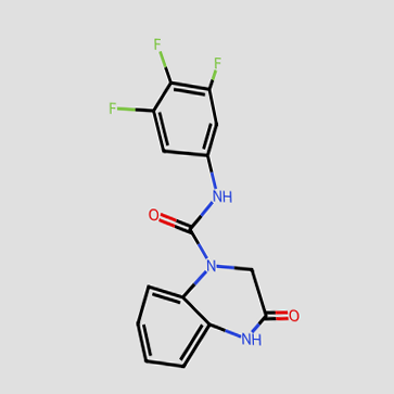 O=C1CN(C(=O)Nc2cc(F)c(F)c(F)c2)c2ccccc2N1